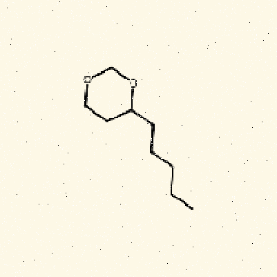 CCCCCC1CCOCO1